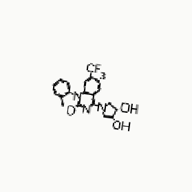 Cc1ccccc1-n1c(=O)nc(N2C[C@H](O)[C@@H](O)C2)c2ccc(C(F)(F)F)cc21